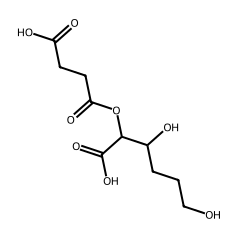 O=C(O)CCC(=O)OC(C(=O)O)C(O)CCCO